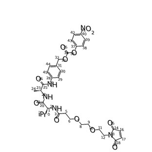 CC(C)[C@H](NC(=O)CCOCCOCCN1C(=O)C=CC1=O)C(=O)N[C@@H](C)C(=O)Nc1ccc(COC(=O)Oc2ccc([N+](=O)[O-])cc2)cc1